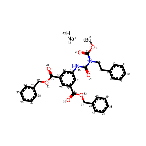 CC(C)(C)OC(=O)N(CCc1ccccc1)C(=O)Nc1cc(C(=O)OCc2ccccc2)cc(C(=O)OCc2ccccc2)c1.[H-].[Na+]